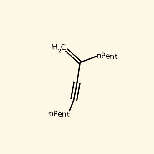 C=C(C#C[CH]CCCC)CCCCC